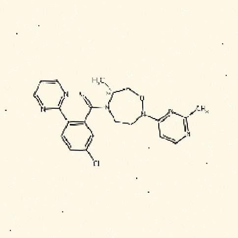 Cc1nccc(N2CCN(C(=O)c3cc(Cl)ccc3-c3ncccn3)[C@H](C)CO2)n1